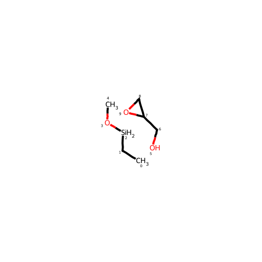 CC[SiH2]OC.OCC1CO1